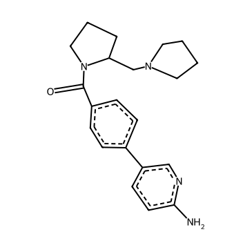 Nc1ccc(-c2ccc(C(=O)N3CCCC3CN3CCCC3)cc2)cn1